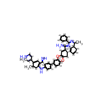 C/C=C(\C=C/N)C1=CC(C=N)=C(Nc2ccc(-c3ccc4c(c3)OC3=C(CCC(/C(N)=N/C(=N\C(C)C5C=CC=CC5)c5ccccc5)=C3)O4)cc2)C[C@H]1C